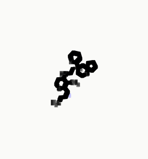 C=C/C=C\C1=C(C)C(NCC[C@@]2(c3ccccn3)CCOC3(CCCC3)C2)CCO1